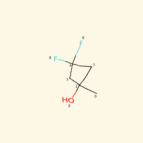 CC1(O)CC(F)(F)C1